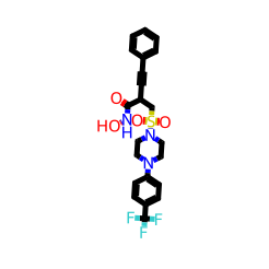 O=C(NO)C(C#Cc1ccccc1)CS(=O)(=O)N1CCN(c2ccc(C(F)(F)F)cc2)CC1